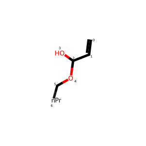 C=CC(O)OCCCC